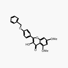 COc1cc(OC)c2c(=O)c(O)c(-c3ccc(OCc4ccccc4)cc3)oc2c1